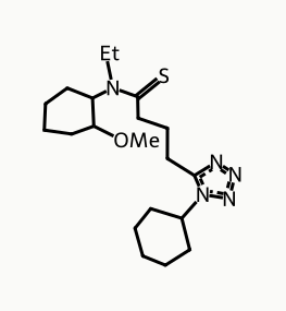 CCN(C(=S)CCCc1nnnn1C1CCCCC1)C1CCCCC1OC